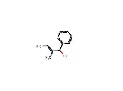 CC=C(C)C(O)c1ccccc1